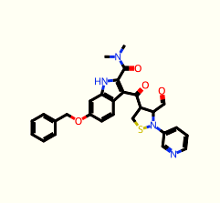 CN(C)C(=O)c1[nH]c2cc(OCc3ccccc3)ccc2c1C(=O)C1CSN(c2cccnc2)C1C=O